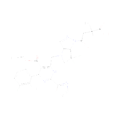 CCOC(=O)C1=C(CN2CC(F)(F)C3C2C=NN3C(=O)CC(C)(C)C(=O)O)NC(c2nccs2)=NC1c1cccc(F)c1C